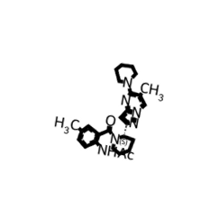 CC(=O)Nc1ccc(C)cc1C(=O)N1CCCC[C@H]1c1cc2nc(N3CCCCC3)c(C)cn2n1